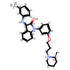 C[C@H]1CCCCN1CCCOc1cccc(N2C(=O)C(=Nc3cccc(C(F)(F)F)c3)c3ccccc32)c1